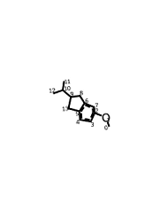 COc1ccc2c(c1)CC(C(C)C)C2